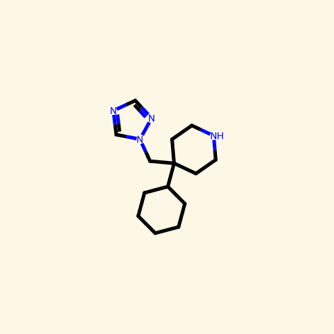 c1ncn(CC2(C3CCCCC3)CCNCC2)n1